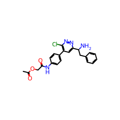 CC(=O)OCC(=O)Nc1ccc(-c2cc([C@@H](N)Cc3ccccc3)nnc2Cl)cc1